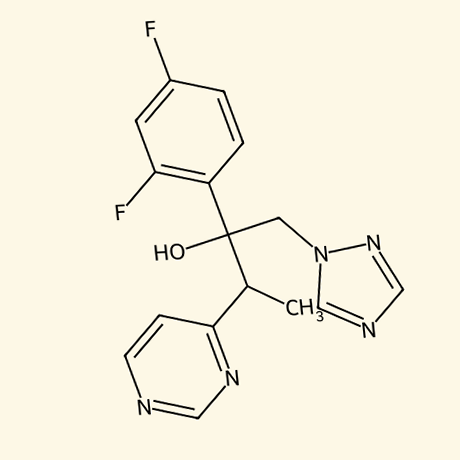 CC(c1ccncn1)C(O)(Cn1cncn1)c1ccc(F)cc1F